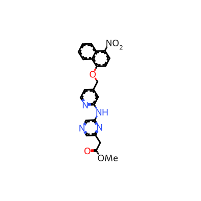 COC(=O)Cc1cncc(Nc2cc(COc3ccc([N+](=O)[O-])c4ccccc34)ccn2)n1